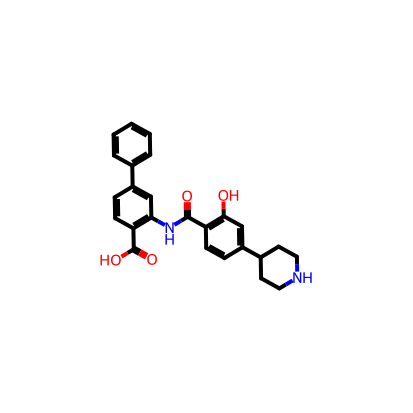 O=C(Nc1cc(-c2ccccc2)ccc1C(=O)O)c1ccc(C2CCNCC2)cc1O